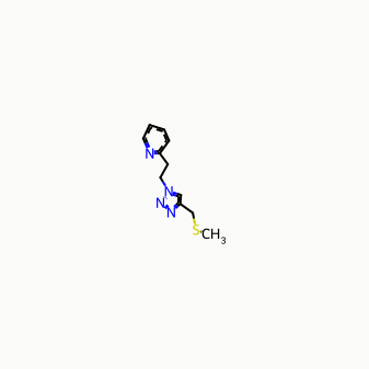 CSCc1cn(CCc2ccccn2)nn1